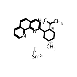 CC(C)[C@H]1CC[C@H](C)CC1c1ccc2ccc3cccnc3c2n1.[I-].[I-].[Sm+2]